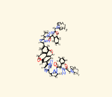 CN(C)CC(=O)N[C@@H](C(=O)N1CCC[C@H]1c1ncc(-c2cc3c4c(c2)OCc2cc(-c5cnc([C@@H]6CCCN6C(=O)[C@H](NC(=O)CN(C)C)c6ccccc6)[nH]5)cc(c2-4)OC3)[nH]1)c1ccccc1